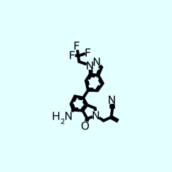 C=C(C#N)CN1Cc2c(-c3ccc4cnn(CC(F)(F)F)c4c3)ccc(N)c2C1=O